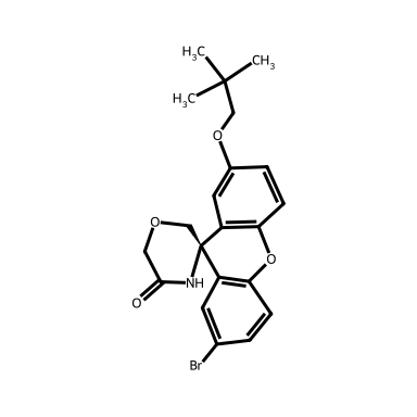 CC(C)(C)COc1ccc2c(c1)[C@]1(COCC(=O)N1)c1cc(Br)ccc1O2